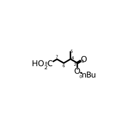 CCCCOC(=O)C(C)CCC(=O)O